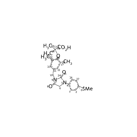 CSc1ccc(N2CC(=O)N(Cc3cc(C)c(OC(C)(C)C(=O)O)c(C)c3)C2=O)cc1